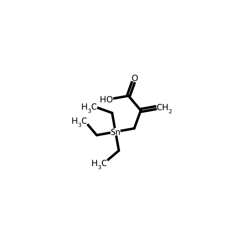 C=C([CH2][Sn]([CH2]C)([CH2]C)[CH2]C)C(=O)O